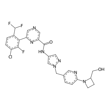 O=C(Nc1cnn(Cc2ccc(N3CCC3CO)nc2)c1)c1cncc(-c2c(C(F)F)ccc(Cl)c2F)n1